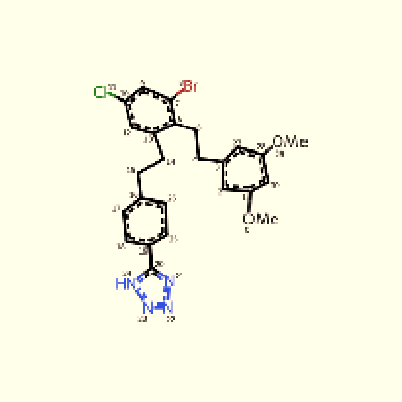 COc1cc(CCc2c(Br)cc(Cl)cc2CCc2ccc(-c3nnn[nH]3)cc2)cc(OC)c1